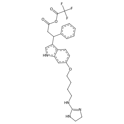 O=C(CC(c1ccccc1)c1c[nH]c2cc(OCCCCNC3=NCCN3)ccc12)OC(=O)C(F)(F)F